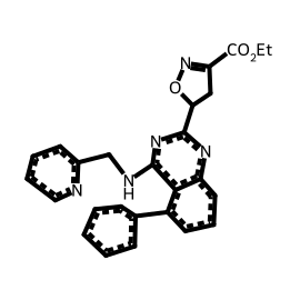 CCOC(=O)C1=NOC(c2nc(NCc3ccccn3)c3c(-c4ccccc4)cccc3n2)C1